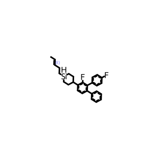 C/C=C/CC[SiH]1CCC(c2ccc(-c3ccccc3)c(-c3ccc(F)cc3)c2F)CC1